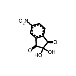 O=C1c2ccc([N+](=O)[O-])cc2C(=O)C1(O)O